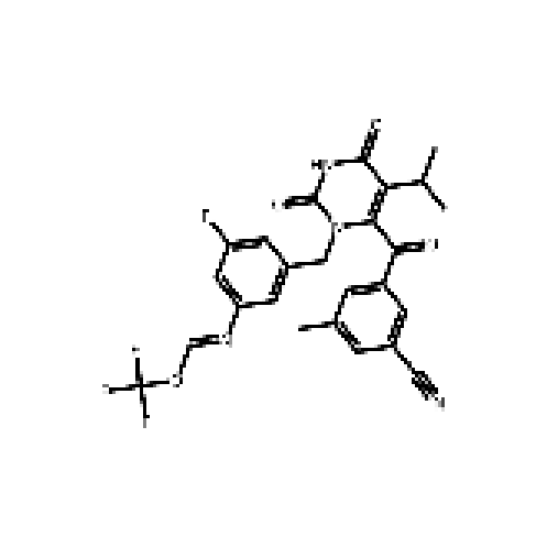 Cc1cc(C#N)cc(C(=O)c2c(C(C)C)c(=O)[nH]c(=O)n2Cc2cc(F)cc(N=COC(F)(F)F)c2)c1